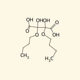 CCCCOC(O)(C(=O)O)C(O)(OCCCC)C(=O)O